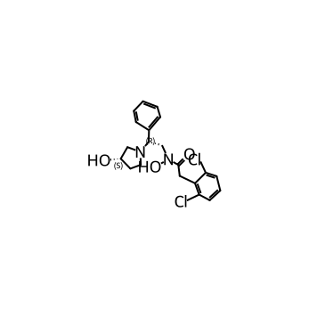 O=C(Cc1c(Cl)cccc1Cl)N(O)C[C@@H](c1ccccc1)N1CC[C@H](O)C1